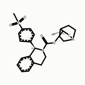 CS(=O)(=O)c1ccc([C@@H]2c3ccccc3CCN2C(=O)O[C@@H]2CN3CCC2CC3)cc1